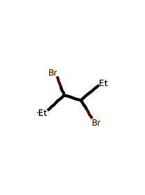 C[CH]C(Br)C(Br)CC